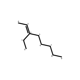 C[CH]/C(=C\C)CCCCC